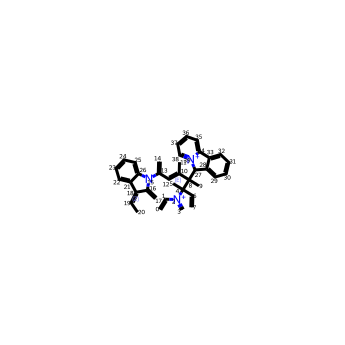 C=C[N+](=C)C(C)(C=C)C(C)(/C(C)=C/C(=C)n1c(=C)/c(=C\C)c2ccccc21)C1c2ccccc2-c2cccc[n+]21